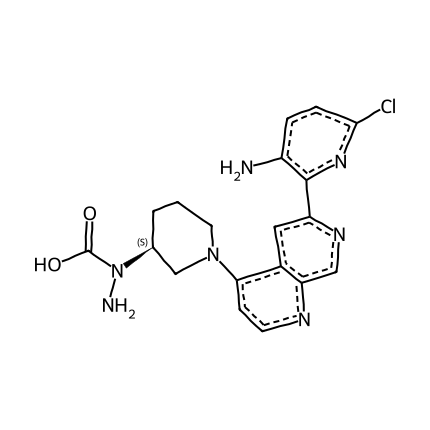 Nc1ccc(Cl)nc1-c1cc2c(N3CCC[C@H](N(N)C(=O)O)C3)ccnc2cn1